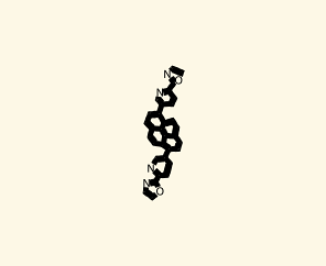 c1coc(-c2ccc(-c3ccc4ccc5c(-c6ccc(-c7ncco7)nc6)ccc6ccc3c4c65)cn2)n1